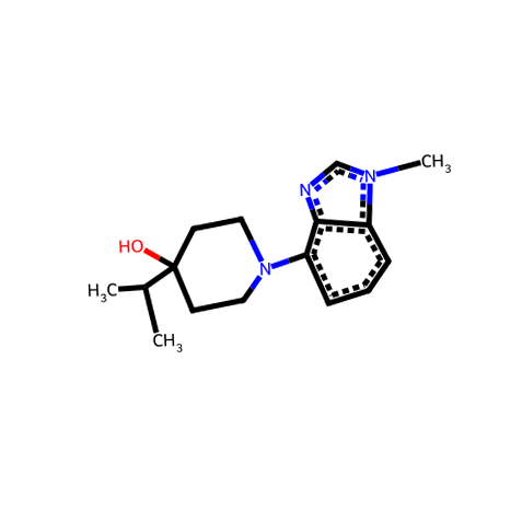 CC(C)C1(O)CCN(c2cccc3c2ncn3C)CC1